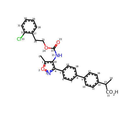 Cc1onc(-c2ccc(-c3ccc(C(C)C(=O)O)cc3)cc2)c1NC(=O)OCCc1ccccc1Cl